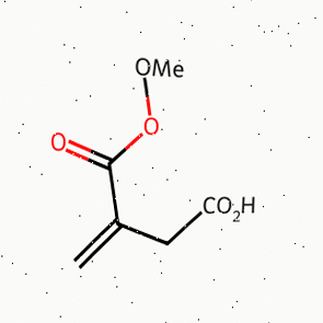 C=C(CC(=O)O)C(=O)OOC